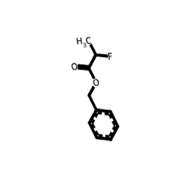 CC(F)C(=O)OCc1ccccc1